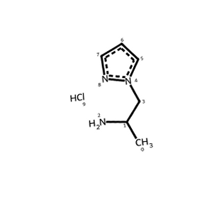 CC(N)Cn1cccn1.Cl